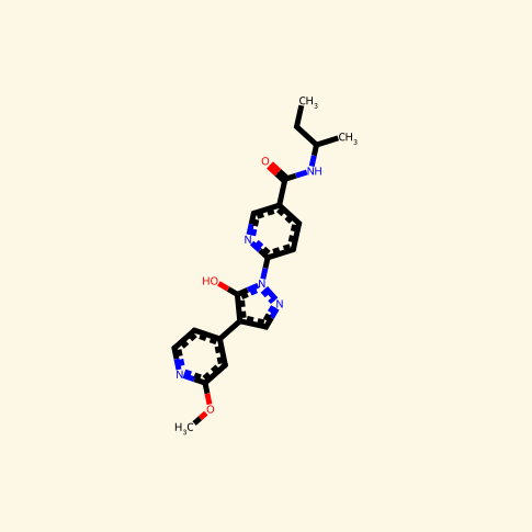 CCC(C)NC(=O)c1ccc(-n2ncc(-c3ccnc(OC)c3)c2O)nc1